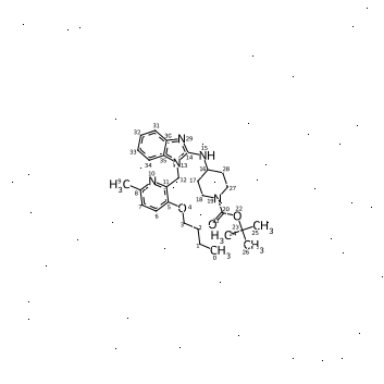 CCCCOc1ccc(C)nc1Cn1c(NC2CCN(C(=O)OC(C)(C)C)CC2)nc2ccccc21